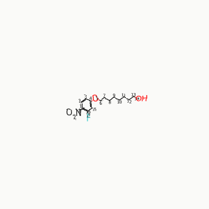 O=[N+]([O-])c1ccc(OCCCCCCCCO)cc1F